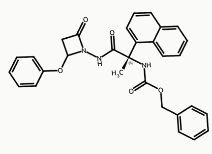 C[C@@](NC(=O)OCc1ccccc1)(C(=O)NN1C(=O)CC1Oc1ccccc1)c1cccc2ccccc12